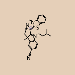 CC(C)CC[N+]1=C(/C=C2\Sc3ccccc3N2C)C(C)(CC#N)c2cc(C#N)ccc21